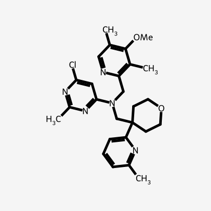 COc1c(C)cnc(CN(CC2(c3cccc(C)n3)CCOCC2)c2cc(Cl)nc(C)n2)c1C